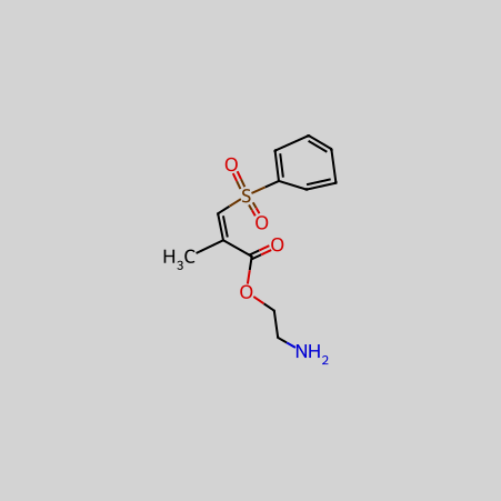 CC(=CS(=O)(=O)c1ccccc1)C(=O)OCCN